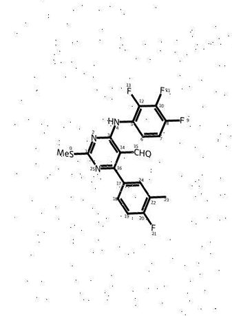 CSc1nc(Nc2ccc(F)c(F)c2F)c(C=O)c(-c2ccc(F)c(C)c2)n1